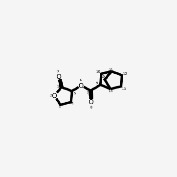 O=C1OCCC1OC(=O)C1CC2CCC1C2